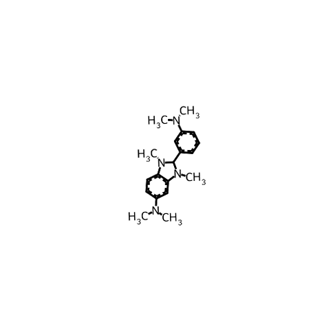 CN(C)c1cccc(C2N(C)c3ccc(N(C)C)cc3N2C)c1